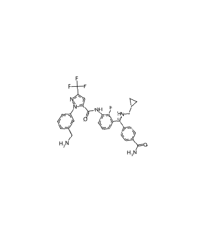 NCc1cccc(-n2nc(C(F)(F)F)cc2C(=O)Nc2cccc([C@@H](NCC3CC3)c3ccc(C(N)=O)cc3)c2F)c1